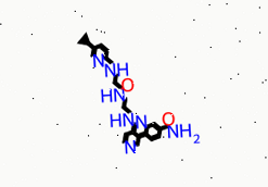 NC(=O)c1ccc2c(c1)nc(NCCCNC(=O)CCNCc1ccc(C3CC3)cn1)c1ccncc12